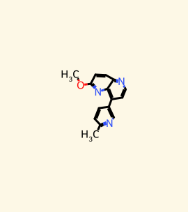 COc1ccc2nccc(-c3ccc(C)nc3)c2n1